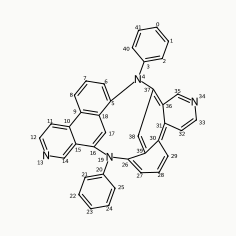 c1ccc(-n2c3cccc4c5ccncc5c(cc43)n(-c3ccccc3)c3cccc4c5ccncc5c2cc43)cc1